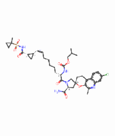 Cc1nc2cc(Cl)ccc2c2c1O[C@]1(CC2)C[C@@H](C(N)=O)N(C(=O)[C@H](CCCCC/C=C\[C@@H]2C[C@@H]2C(=O)NS(=O)(=O)C2(C)CC2)NC(=O)OCC(C)C)C1